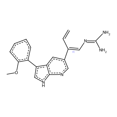 C=C/C(=C\N=C(N)N)c1cnc2[nH]cc(-c3ccccc3OC)c2c1